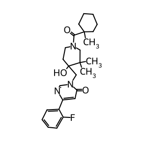 CC1(C(=O)N2CCC(O)(Cn3cnc(-c4ccccc4F)cc3=O)C(C)(C)C2)CCCCC1